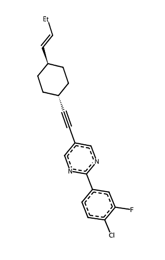 CCC=C[C@H]1CC[C@H](C#Cc2cnc(-c3ccc(Cl)c(F)c3)nc2)CC1